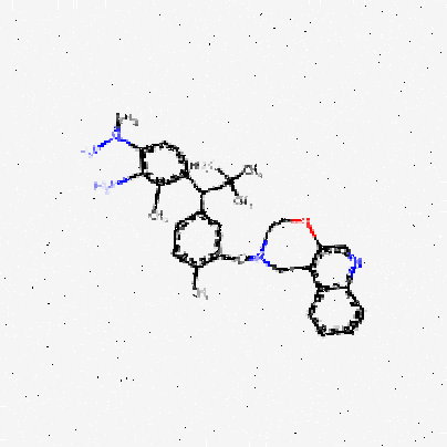 Cc1ccc(C(c2ccc(N(C)N)c(N)c2C)C(C)(C)C(=O)O)cc1CN1CCOc2cnc3ccccc3c2C1